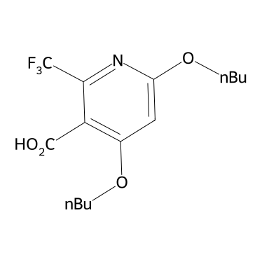 CCCCOc1cc(OCCCC)c(C(=O)O)c(C(F)(F)F)n1